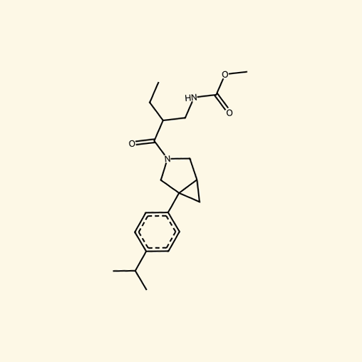 CCC(CNC(=O)OC)C(=O)N1CC2CC2(c2ccc(C(C)C)cc2)C1